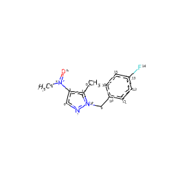 Cc1c([N+](C)=O)cnn1Cc1ccc(F)cc1